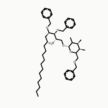 CCCCCCCCCCCCCC[C@@H](OCc1ccccc1)[C@@H](OCc1ccccc1)[C@@H](N)CO[C@H]1OC(COCc2ccccc2)[C@H](C)[C@H](C)C1C